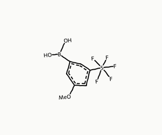 COc1cc(B(O)O)cc(S(F)(F)(F)(F)F)c1